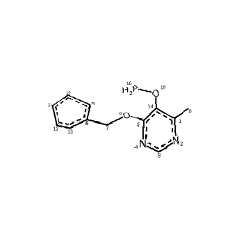 Cc1ncnc(OCc2ccccc2)c1OP